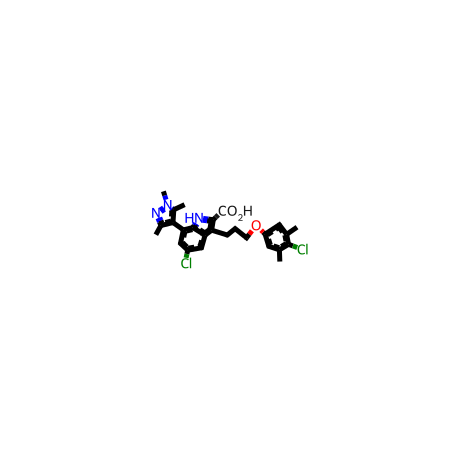 Cc1cc(OCCCc2c(C(=O)O)[nH]c3c(-c4c(C)nn(C)c4C)cc(Cl)cc23)cc(C)c1Cl